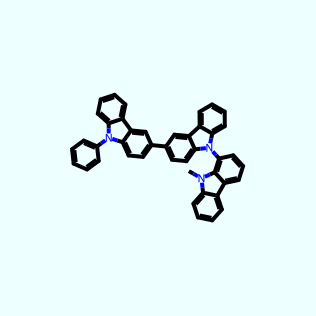 Cn1c2ccccc2c2cccc(-n3c4ccccc4c4cc(-c5ccc6c(c5)c5ccccc5n6-c5ccccc5)ccc43)c21